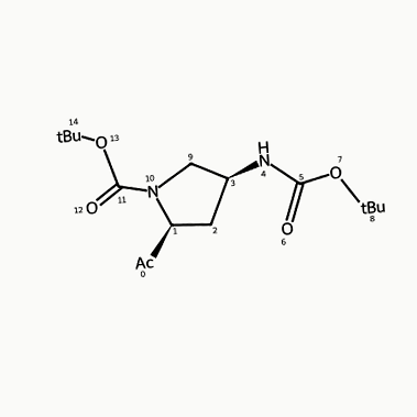 CC(=O)[C@@H]1C[C@H](NC(=O)OC(C)(C)C)CN1C(=O)OC(C)(C)C